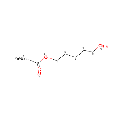 CCCCCC(=O)OCCCCCO